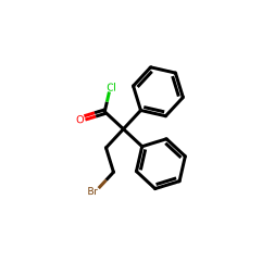 O=C(Cl)C(CCBr)(c1ccccc1)c1ccccc1